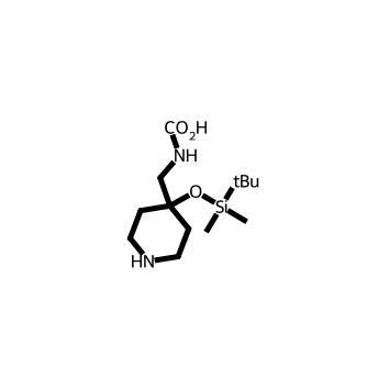 CC(C)(C)[Si](C)(C)OC1(CNC(=O)O)CCNCC1